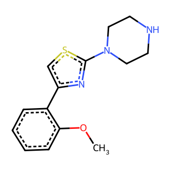 COc1ccccc1-c1csc(N2CCNCC2)n1